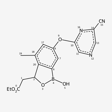 CCOC(=O)CC1OB(O)c2cc(Oc3cncc(C#N)n3)cc(C)c21